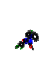 CCOCCN/C(=N/C(=O)c1ccc(F)c(F)c1)NC1NN(C2CCCCCCC2)c2c(F)cccc21